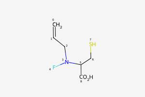 C=CCN(F)C(CS)C(=O)O